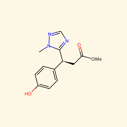 COC(=O)C[C@@H](c1ccc(O)cc1)c1ncnn1C